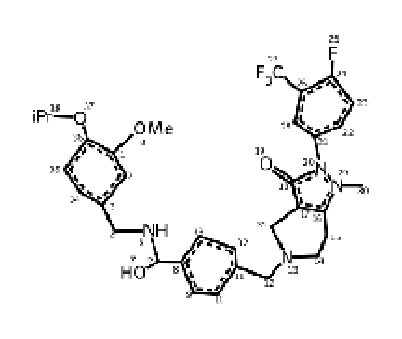 COc1cc(CNC(O)c2ccc(CN3CCc4c(c(=O)n(-c5ccc(F)c(C(F)(F)F)c5)n4C)C3)cc2)ccc1OC(C)C